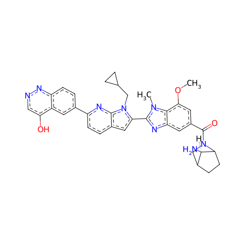 COc1cc(C(=O)N2CC3CCC2[C@@H]3N)cc2nc(-c3cc4ccc(-c5ccc6nncc(O)c6c5)nc4n3CC3CC3)n(C)c12